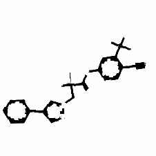 C[C@](O)(Cn1cc(-c2ccccc2)cn1)C(=O)Nc1ccc(C#N)c(C(F)(F)F)c1